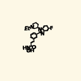 CCN1CCCC(n2c(-c3cccc(C=CC(=O)NO)c3)nc3cc(F)ccc32)C1